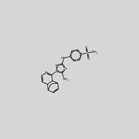 Nc1nc(Nc2ccc(S(N)(=O)=O)cc2)nn1C1=NC=CC2C3C=CC(CC3)C12